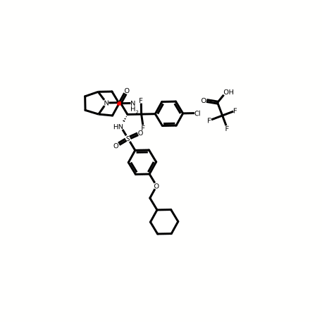 NC1CC2CCC(C1)N2C(=O)[C@@H](NS(=O)(=O)c1ccc(OCC2CCCCC2)cc1)C(F)(F)c1ccc(Cl)cc1.O=C(O)C(F)(F)F